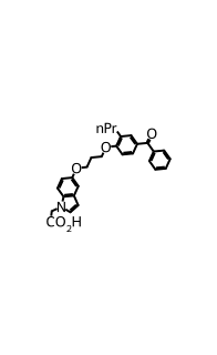 CCCc1cc(C(=O)c2ccccc2)ccc1OCCCOc1ccc2c(ccn2CC(=O)O)c1